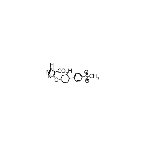 CS(=O)(=O)c1ccc([C@H]2CC[C@H](Oc3nn[nH]c3C(=O)O)CC2)cc1